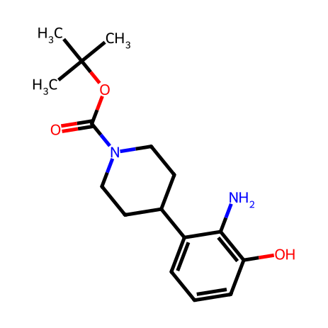 CC(C)(C)OC(=O)N1CCC(c2cccc(O)c2N)CC1